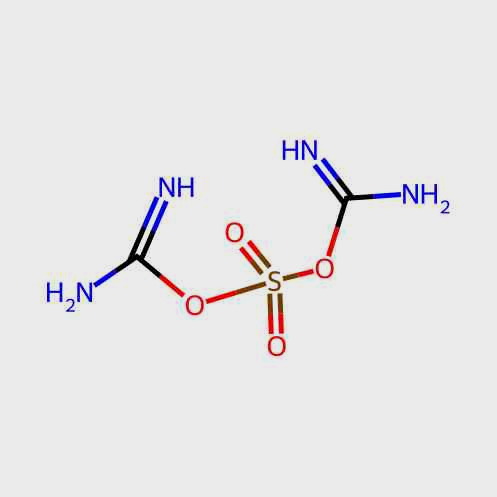 N=C(N)OS(=O)(=O)OC(=N)N